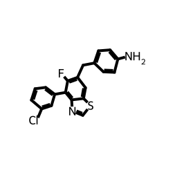 Nc1ccc(Cc2cc3scnc3c(-c3cccc(Cl)c3)c2F)cc1